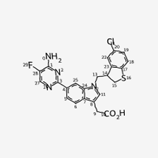 Nc1nc(-c2ccc3c(CC(=O)O)cn(CC4CSc5ccc(Cl)cc54)c3c2)ncc1F